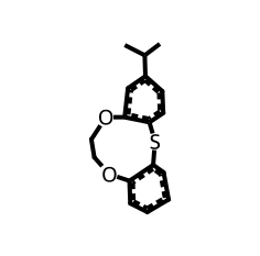 CC(C)c1ccc2c(c1)OCCOc1ccccc1S2